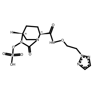 O=C(NOCCn1nccn1)[C@@H]1CC[C@@H]2CN1C(=O)N2OS(=O)(=O)O